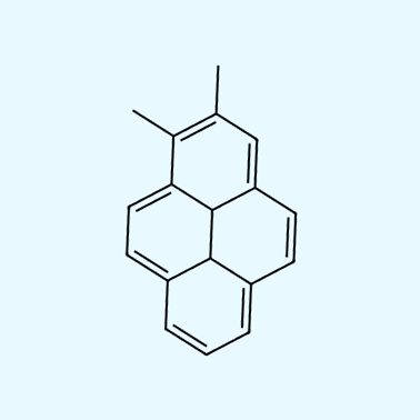 CC1=C(C)C2=CC=C3C=CC=C4C=CC(=C1)C2C43